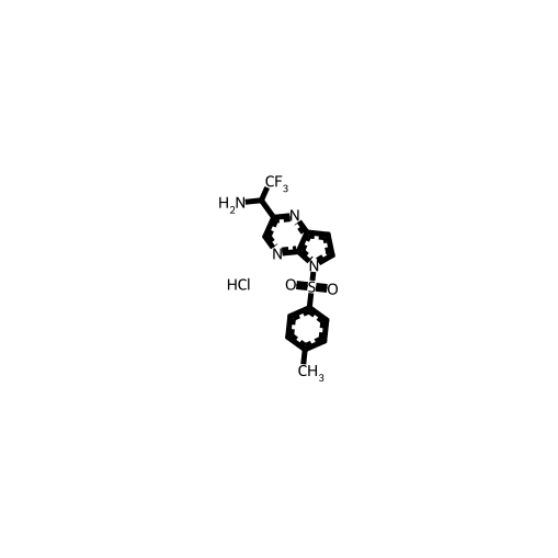 Cc1ccc(S(=O)(=O)n2ccc3nc(C(N)C(F)(F)F)cnc32)cc1.Cl